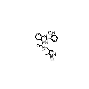 CCn1ncc(CN(C)C(=O)c2nc(-c3ccccc3O)nc3ccccc23)c1C